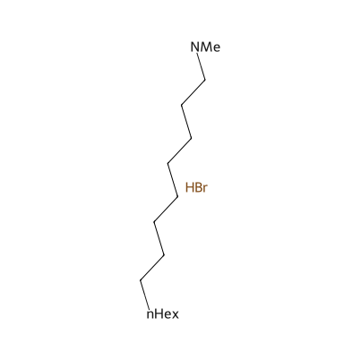 Br.CCCCCCCCCCCCCCNC